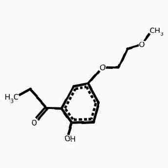 CCC(=O)c1cc(OCCOC)ccc1O